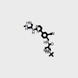 CN/C=C(\C=N)Nc1nccc(-c2ccc(CNC(=O)/C(C=N)=C/NC(C)(C)C)c(C#N)c2)n1